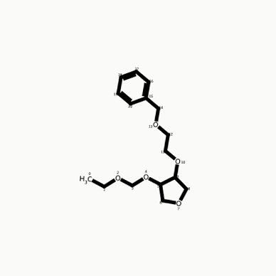 CCOCOC1COCC1OCCOCc1ccccc1